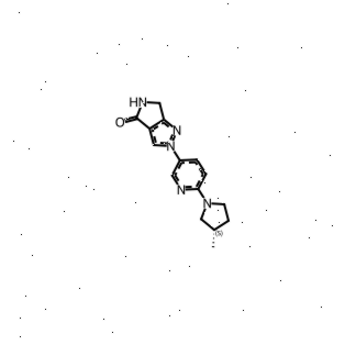 C[C@H]1CCN(c2ccc(-n3cc4c(n3)CNC4=O)cn2)C1